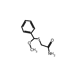 COC(SCC(N)=O)c1ccccc1